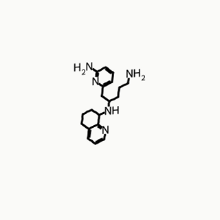 NCCCC(Cc1cccc(N)n1)NC1CCCc2cccnc21